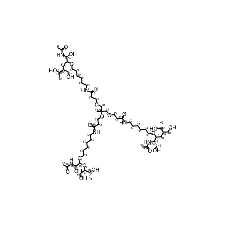 CC(=O)N[C@@H](O)C(OCCCCCCNC(=O)CCOCC(C)(COCCC(=O)NCCCCCCOC(CC(CO)[C@@H](C)O)[C@H](CO)NC(C)=O)OCCC(=O)NCCCCCCOC(OC(CO)[C@@H](C)O)[C@H](O)NC(C)=O)OC(CO)[C@@H](C)O